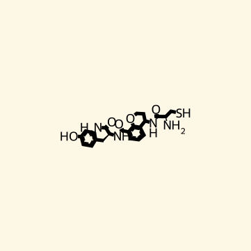 NC(=O)[C@H](Cc1ccc(O)cc1)NC(=O)c1cccc2c1OCCC2NC(=O)[C@@H](N)CS